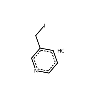 Cl.ICc1cccnc1